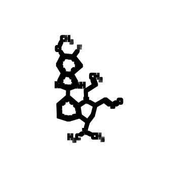 C=CCN1c2c(-c3nc4cc(OC)c(F)cc4[nH]3)cccc2C(N(C)C)CC1C=S=O